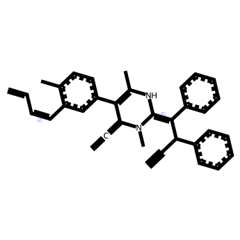 C#CC(/C(=C1/NC(C)=C(c2ccc(C)c(/C=C\C=C)c2)C(=C=C)N1C)c1ccccc1)c1ccccc1